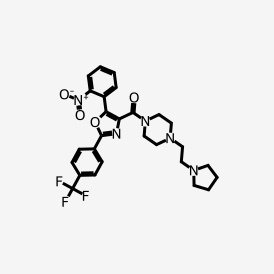 O=C(c1nc(-c2ccc(C(F)(F)F)cc2)oc1-c1ccccc1[N+](=O)[O-])N1CCN(CCN2CCCC2)CC1